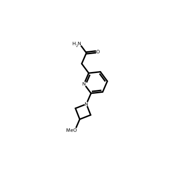 COC1CN(c2cccc(CC(N)=O)n2)C1